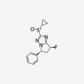 [O-][S+](c1nc2n(n1)[C@H](c1ccccc1)C[C@@H]2F)C1CC1